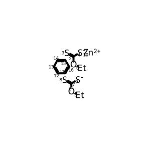 CCOC(=S)[S-].CCOC(=S)[S-].[Zn+2].c1ccccc1